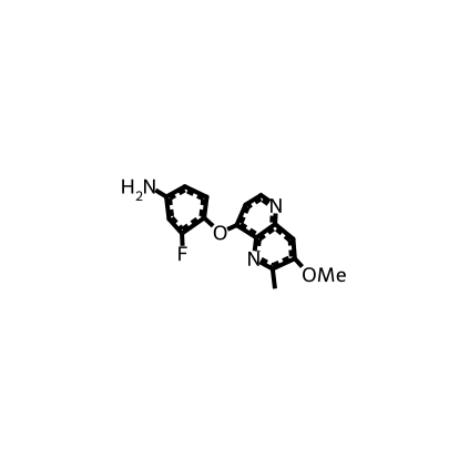 COc1cc2nccc(Oc3ccc(N)cc3F)c2nc1C